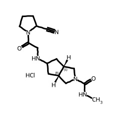 CNC(=O)N1C[C@H]2CC(NCC(=O)N3CCCC3C#N)C[C@H]2C1.Cl